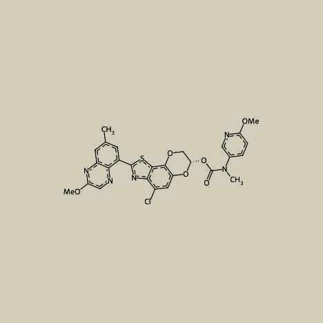 COc1ccc(N(C)C(=O)O[C@H]2COc3c(cc(Cl)c4nc(-c5cc(C)cc6nc(OC)cnc56)sc34)O2)cn1